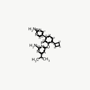 CC(C)c1cc(Oc2c(C3CCC3)ccc(-c3cnc(N)nc3)c2F)nc(N)n1